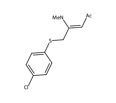 CN/C(=C\C(C)=O)CSc1ccc(Cl)cc1